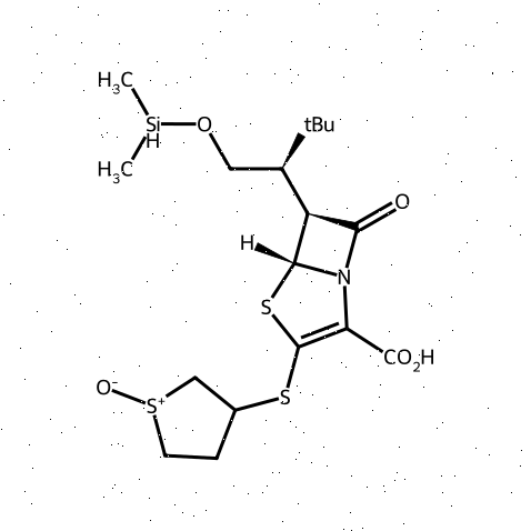 C[SiH](C)OC[C@H]([C@H]1C(=O)N2C(C(=O)O)=C(SC3CC[S+]([O-])C3)S[C@H]12)C(C)(C)C